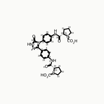 O=C(Nc1ccc(-c2n[nH]c(=O)n2-c2ccc(NC(=O)[C@@H]3CCCN3C(=O)O)cc2)cc1)[C@@H]1CCCN1C(=O)O